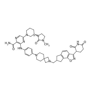 CN1CCN([C@@H]2CCCN(c3cnc(C(N)=O)c(Nc4ccc(N5CCC6(CC5)CN(CC5Cc7ccc8c(C9CCC(=O)NC9=O)noc8c7C5)C6)cc4)n3)C2)C1=O